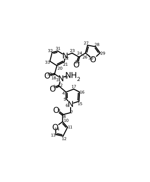 NN(C(=O)C1=CN(CC(=O)c2ccco2)C=CC1)C(=O)C1=CN(CC(=O)c2ccco2)C=CC1